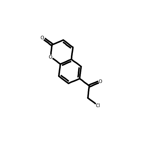 O=C(CCl)c1ccc2oc(=O)ccc2c1